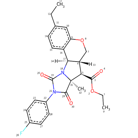 CCOC(=O)[C@@H]1[C@H]2COc3cc(CC)ccc3[C@@H]2N2C(=O)N(c3ccc(F)cc3)C(=O)[C@]12C